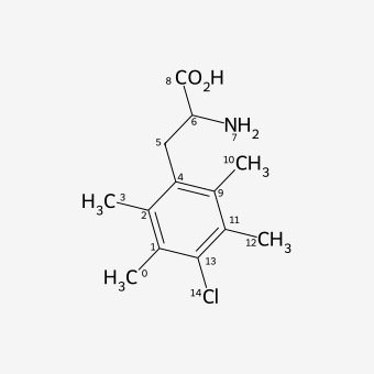 Cc1c(C)c(CC(N)C(=O)O)c(C)c(C)c1Cl